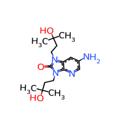 CC(C)(O)CCn1c(=O)n(CCC(C)(C)O)c2ncc(N)cc21